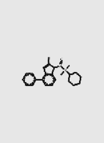 CC1=Cc2c(-c3ccccc3)cccc2C1[Si](=O)[N+](C)(C)C1CCCCC1